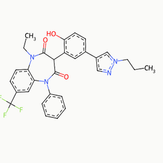 CCCn1cc(-c2ccc(O)c(C3C(=O)N(CC)c4ccc(C(F)(F)F)cc4N(c4ccccc4)C3=O)c2)cn1